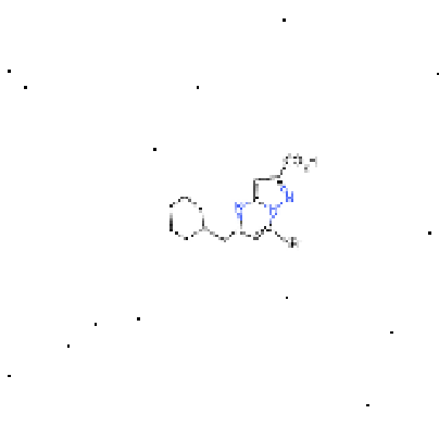 CC(C)c1cc(CC2CCCCC2)nc2cc(C(=O)O)nn12